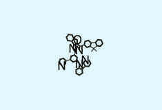 CC1(C)c2ccccc2-c2ccc(-c3nc(-c4cc(-c5cccnc5)cc(-n5c6ccccc6c6cccnc65)c4)nc4c3oc3ccccc34)cc21